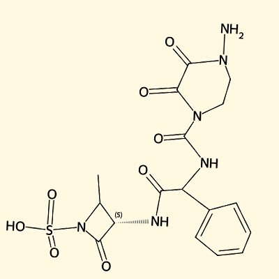 CC1[C@H](NC(=O)C(NC(=O)N2CCN(N)C(=O)C2=O)c2ccccc2)C(=O)N1S(=O)(=O)O